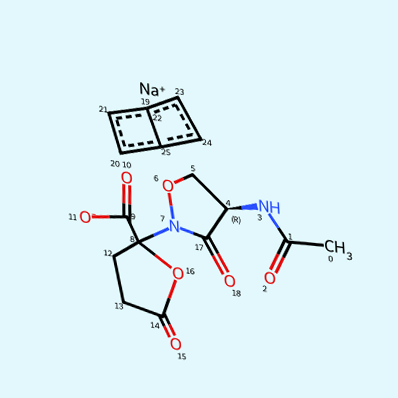 CC(=O)N[C@@H]1CON(C2(C(=O)[O-])CCC(=O)O2)C1=O.[Na+].c1cc2ccc1-2